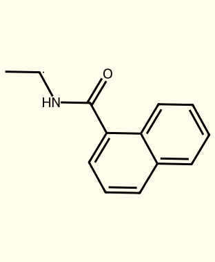 C[CH]NC(=O)c1cccc2ccccc12